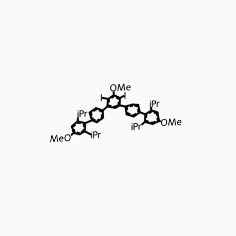 COc1cc(C(C)C)c(-c2ccc(-c3cc(-c4ccc(-c5c(C(C)C)cc(OC)cc5C(C)C)cc4)c(I)c(OC)c3I)cc2)c(C(C)C)c1